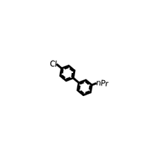 [CH2]CCc1cccc(-c2ccc(Cl)cc2)c1